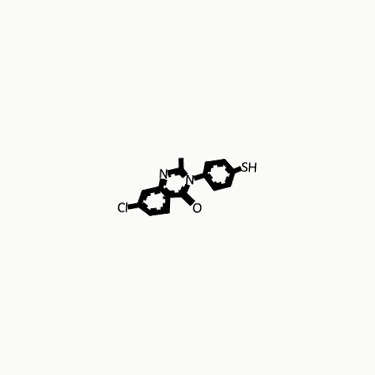 Cc1nc2cc(Cl)ccc2c(=O)n1-c1ccc(S)cc1